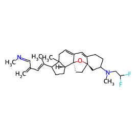 C=C(/C=N\C)/C=C(\C)C1CC[C@@H]2C1(C)CC=C1C=C3CCC(N(C)CC(F)F)C[C@]34CC[C@@]12O4